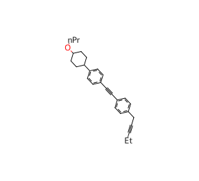 CCC#CCc1ccc(C#Cc2ccc(C3CCC(OCCC)CC3)cc2)cc1